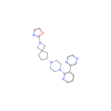 c1cnc(N2CCN([C@@H]3CCC4(C3)CN(c3ncco3)C4)CC2)c(-c2cnccn2)c1